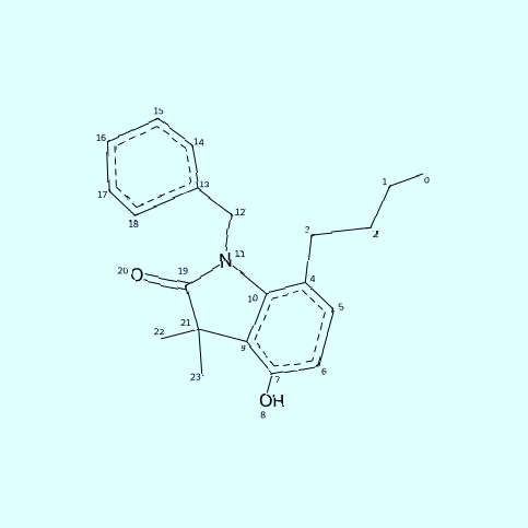 CCCCc1ccc(O)c2c1N(Cc1ccccc1)C(=O)C2(C)C